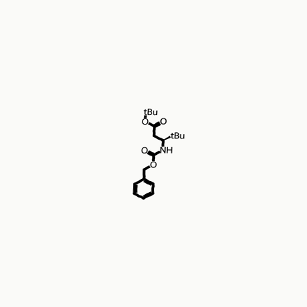 CC(C)(C)OC(=O)C[C@H](NC(=O)OCc1ccccc1)C(C)(C)C